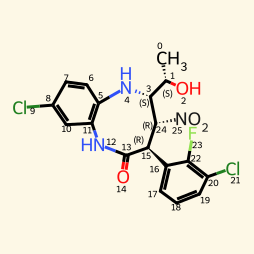 C[C@H](O)[C@H]1Nc2ccc(Cl)cc2NC(=O)[C@H](c2cccc(Cl)c2F)[C@H]1[N+](=O)[O-]